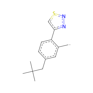 [CH2]c1cc(CC(C)(C)C)ccc1-c1csnn1